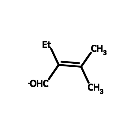 CCC([C]=O)=C(C)C